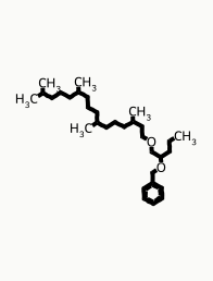 CCCC(COCCC(C)CCCC(C)CCCC(C)CCCC(C)C)OCc1ccccc1